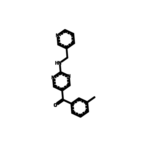 Cc1cccc(C(=O)c2cnc(NCc3cccnc3)nc2)c1